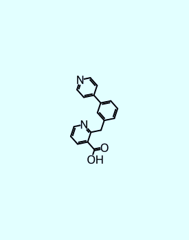 O=C(O)c1cccnc1Cc1cccc(-c2ccncc2)c1